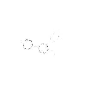 COc1ccc(-c2ccncc2)cc1B1OC(C)(C)C(C)(C)O1